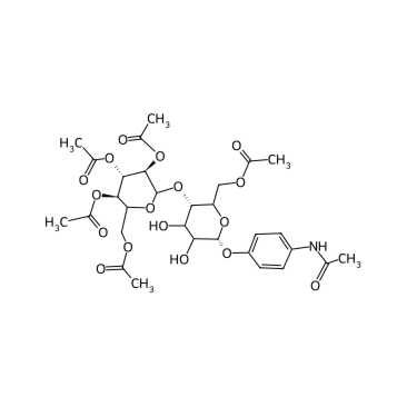 CC(=O)Nc1ccc(O[C@H]2OC(COC(C)=O)[C@@H](OC3OC(COC(C)=O)[C@@H](OC(C)=O)[C@H](OC(C)=O)[C@H]3OC(C)=O)C(O)C2O)cc1